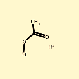 CCOC(C)=O.[H+]